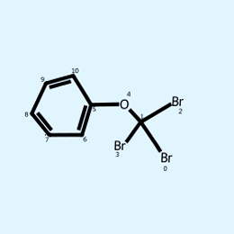 BrC(Br)(Br)Oc1c[c]ccc1